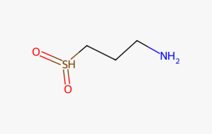 NCCC[SH](=O)=O